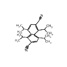 CC(C)c1cc(C#N)c(C(C)C)c2c(C(C)C)cc(C#N)c(C(C)C)c12